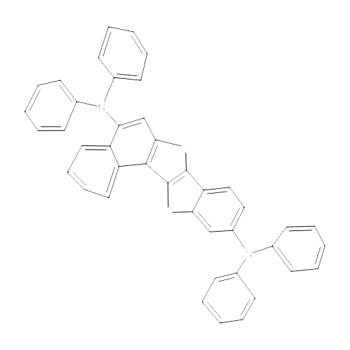 c1ccc(N(c2ccccc2)c2ccc3c(c2)sc2c3sc3cc(N(c4ccccc4)c4ccccc4)c4ccccc4c32)cc1